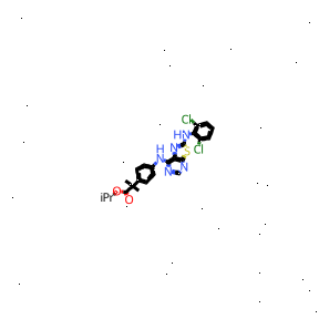 CC(C)OC(=O)C(C)(C)c1ccc(Nc2ncnc3sc(Nc4c(Cl)cccc4Cl)nc23)cc1